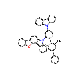 N#Cc1cc(-c2ccccc2)cc(C#N)c1-c1ccc(-n2c3ccccc3c3ccccc32)cc1-n1c2ccccc2c2c3oc4ccccc4c3ccc21